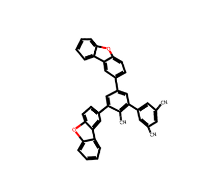 N#Cc1cc(C#N)cc(-c2cc(-c3ccc4oc5ccccc5c4c3)cc(-c3ccc4oc5ccccc5c4c3)c2C#N)c1